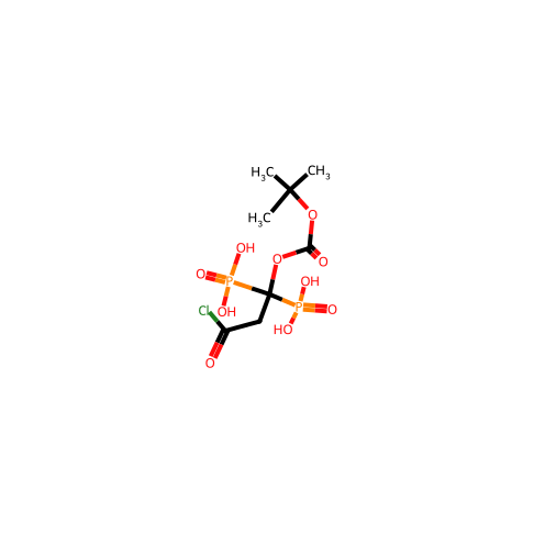 CC(C)(C)OC(=O)OC(CC(=O)Cl)(P(=O)(O)O)P(=O)(O)O